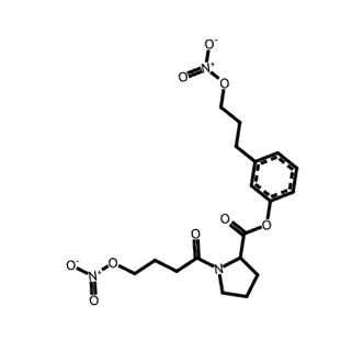 O=C(Oc1cccc(CCCO[N+](=O)[O-])c1)C1CCCN1C(=O)CCCO[N+](=O)[O-]